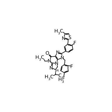 CCN1C(=O)c2nc(-c3ccc(F)c(-c4nc(C)cs4)c3)n(Cc3ccc(F)cc3F)c2N2C[C@@H](C(C)C)N=C12